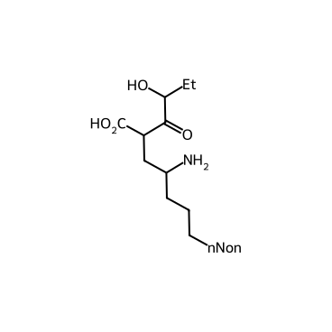 CCCCCCCCCCCCC(N)CC(C(=O)O)C(=O)C(O)CC